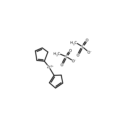 C1=CC[C]([Zr+2][C]2=CC=CC2)=C1.CS(=O)(=O)[O-].CS(=O)(=O)[O-]